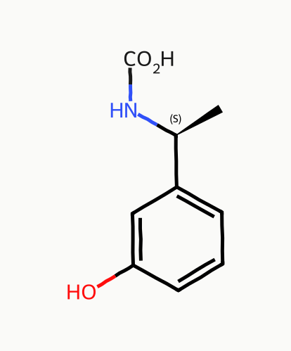 C[C@H](NC(=O)O)c1cccc(O)c1